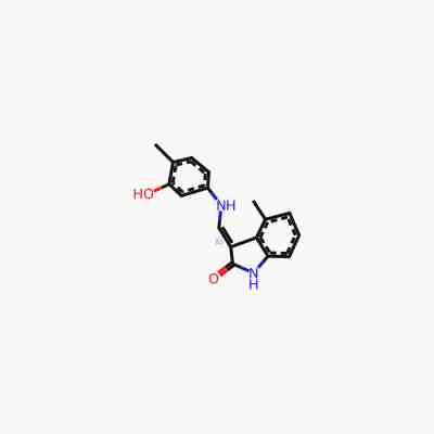 Cc1ccc(N/C=C2/C(=O)Nc3cccc(C)c32)cc1O